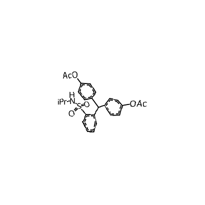 CC(=O)Oc1ccc(C(c2ccc(OC(C)=O)cc2)c2ccccc2S(=O)(=O)NC(C)C)cc1